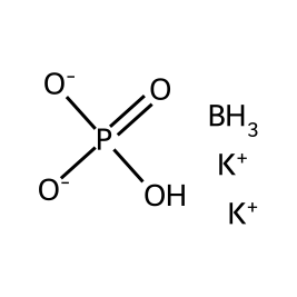 B.O=P([O-])([O-])O.[K+].[K+]